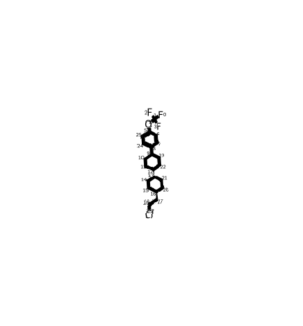 FC(F)(F)Oc1ccc(C2CCC([C@H]3CC[C@H](CCCl)CC3)CC2)cc1